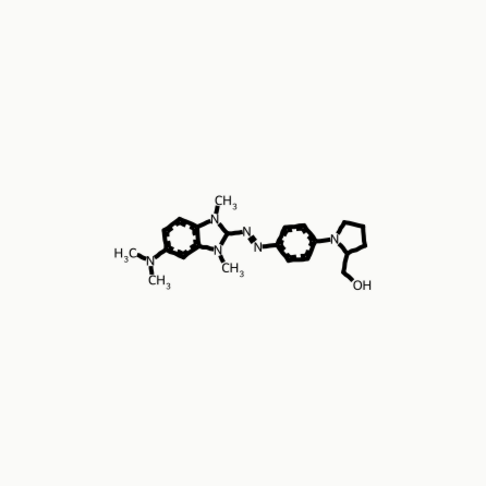 CN(C)c1ccc2c(c1)N(C)C(N=Nc1ccc(N3CCCC3CO)cc1)N2C